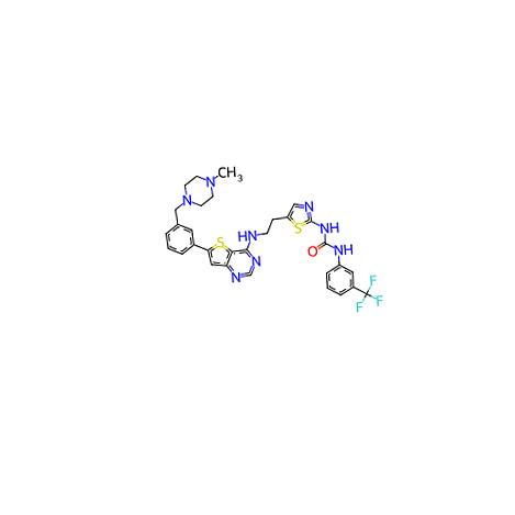 CN1CCN(Cc2cccc(-c3cc4ncnc(NCCc5cnc(NC(=O)Nc6cccc(C(F)(F)F)c6)s5)c4s3)c2)CC1